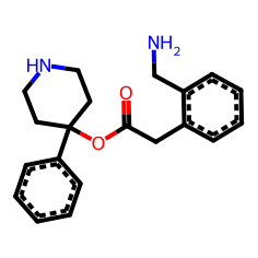 NCc1ccccc1CC(=O)OC1(c2ccccc2)CCNCC1